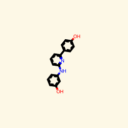 Oc1ccc(-c2cccc(Nc3cccc(O)c3)n2)cc1